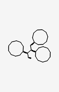 O=CC(=C1CCCCCCCCC1)C(C=C1CCCCCCCCC1)=C1CCCCCCCCC1